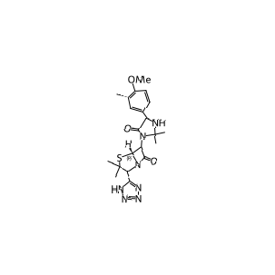 COc1ccc(C2NC(C)(C)N(C3C(=O)N4C(c5nnn[nH]5)C(C)(C)S[C@H]34)C2=O)cc1C